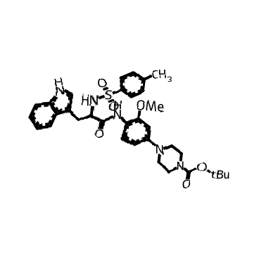 COc1cc(N2CCN(C(=O)OC(C)(C)C)CC2)ccc1NC(=O)C(Cc1c[nH]c2ccccc12)NS(=O)(=O)c1ccc(C)cc1